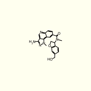 CN(C(=O)c1ccc2ncc3c(N)nn(C)c3c2c1)C1COc2cc(CO)ccc21